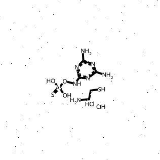 Cl.Cl.NCCS.Nc1nc(N)nc(NO[As](O)(O)=S)n1